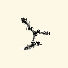 CC(CCC1=C=C(/C=C/C=C/C=C/C=C2/N(CCCCCC(=O)NCCCCCCCC(=O)Nc3nnc([SH](=O)=O)s3)c3ccc(C(=O)NCCCC[C@H](O)CO)cc3C2(C)C)C(C)(C)c2cc(C(=O)NCCCC[C@H](O)CO)ccc21)S(=O)(=O)O